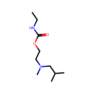 CCNC(=O)OCCN(C)CC(C)C